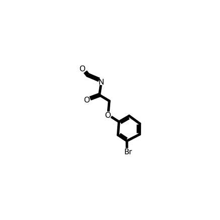 O=C=NC(=O)COc1cccc(Br)c1